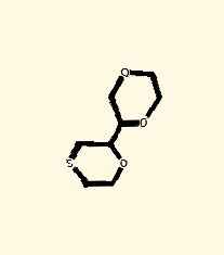 C1COC(C2CSCCO2)CO1